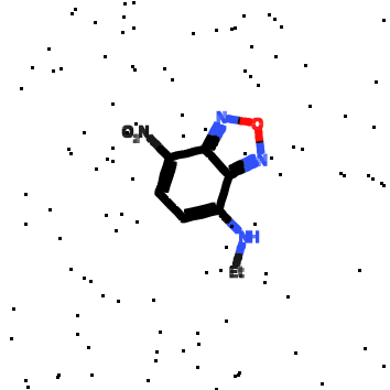 [CH2]CNc1ccc([N+](=O)[O-])c2nonc12